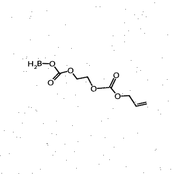 BOC(=O)OCCOC(=O)OCC=C